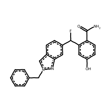 NC(=O)c1ccc(O)cc1C(F)c1ccc2cn(Cc3ccccc3)nc2c1